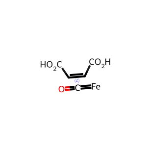 O=C(O)/C=C\C(=O)O.O=[C]=[Fe]